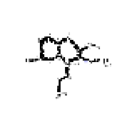 CCc1ccc2nc(C)/c(=N\C)n(CCC(C)C)c2c1